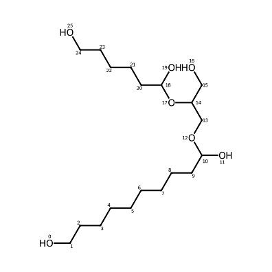 OCCCCCCCCCC(O)OCC(CO)OC(O)CCCCCO